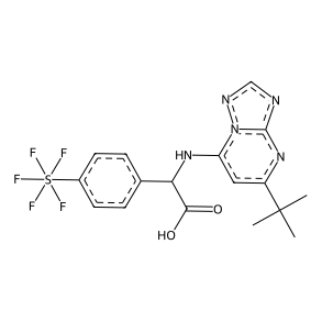 CC(C)(C)c1cc(NC(C(=O)O)c2ccc(S(F)(F)(F)(F)F)cc2)n2ncnc2n1